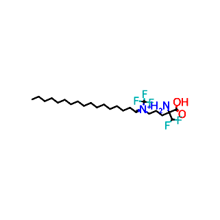 CCCCCCCCCCCCCCCCC=[N+](CCCC(N)(C(=O)O)C(F)F)C(F)(F)F